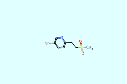 CS(=O)(=O)CCc1ccc(Br)cn1